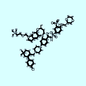 C[C@H]1CCN(c2cc(N3CCN(CC4=C(c5ccc(Cl)cc5)CC(C)(C)CC4)CC3)ccc2C(=O)NS(=O)(=O)c2ccc(NC[C@@H]3COCCO3)c([N+](=O)[O-])c2)c2cc3ccn(COCC[Si](C)(C)C)c3nc2O1